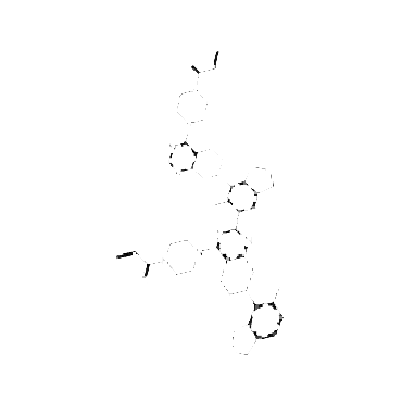 C=CC(=O)N1CCN(c2ncnc3c2CC[C@@H](c2c(C)c(-c4nc5c(c(N6CCN(C(=O)C=C)CC6)n4)CC[C@H](c4c(C)ccc6c4COC6)C5)cc4c2COC4)C3)CC1